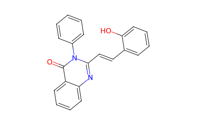 O=c1c2ccccc2nc(C=Cc2ccccc2O)n1-c1ccccc1